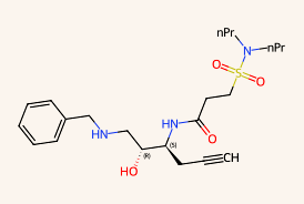 C#CC[C@H](NC(=O)CCS(=O)(=O)N(CCC)CCC)[C@H](O)CNCc1ccccc1